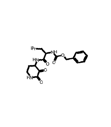 CC(C)CC(NC(=O)OCc1ccccc1)C(=O)NC1CCNC(=O)C1=O